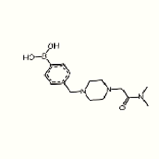 CN(C)C(=O)CN1CCN(Cc2ccc(B(O)O)cc2)CC1